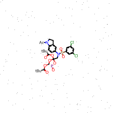 CC(=O)N1CCc2cc(N(CC(OCOC(=O)C(C)(C)C)(OP=O)OC(=O)C(C)(C)C)S(=O)(=O)c3cc(Cl)cc(Cl)c3)ccc21